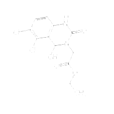 CCOC(=O)CN1C(=O)Nc2ccc(Cl)c(Cl)c2C1C